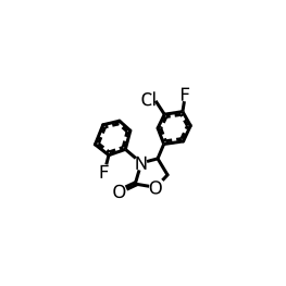 O=C1OCC(c2ccc(F)c(Cl)c2)N1c1ccccc1F